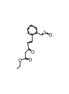 CCOC(=O)CC(=O)C=Cc1ccccc1C=S=O